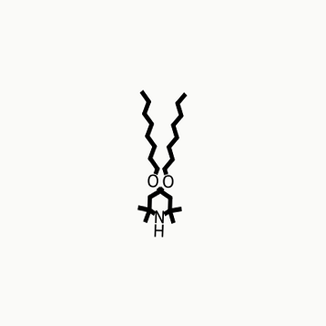 CCCCCCCCOC1(OCCCCCCCC)CC(C)(C)NC(C)(C)C1